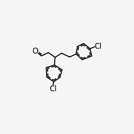 O=CCC(CCc1ccc(Cl)cc1)c1ccc(Cl)cc1